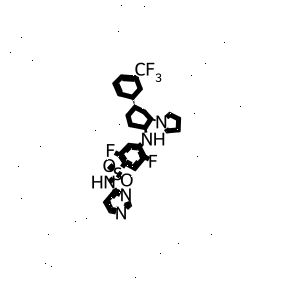 O=S(=O)(Nc1ccncn1)c1cc(F)c(N[C@H]2CC[C@H](C3C=CC=C(C(F)(F)F)C3)C[C@@H]2N2CCCC2)cc1F